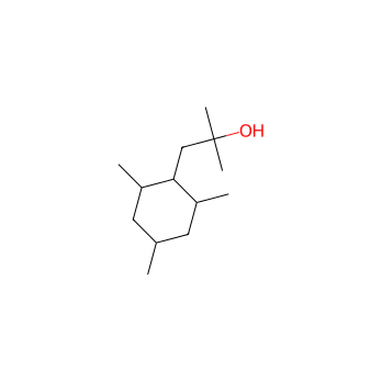 CC1CC(C)C(CC(C)(C)O)C(C)C1